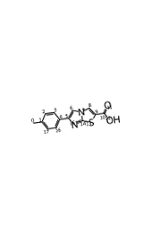 Cc1ccc(-c2cn3cc(C(=O)O)sc3n2)cc1